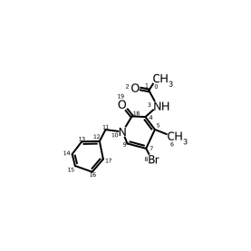 CC(=O)Nc1c(C)c(Br)cn(Cc2ccccc2)c1=O